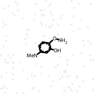 CNc1ccc(ON)c(O)c1